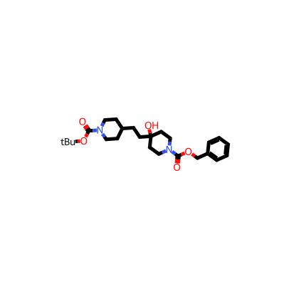 CC(C)(C)OC(=O)N1CCC(CCC2(O)CCN(C(=O)OCc3ccccc3)CC2)CC1